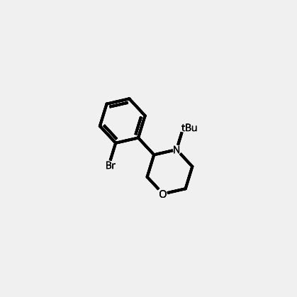 CC(C)(C)N1CCOCC1c1ccccc1Br